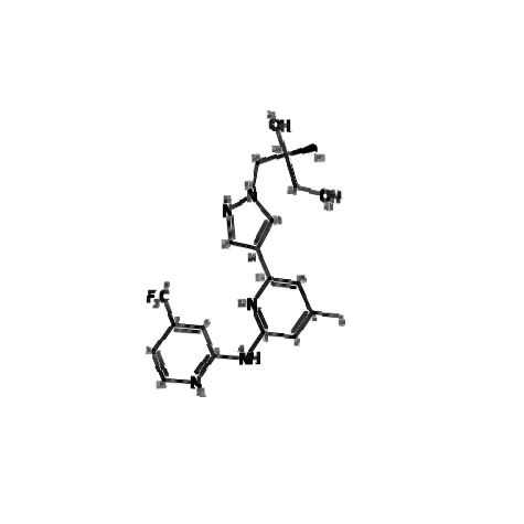 Cc1cc(Nc2cc(C(F)(F)F)ccn2)nc(-c2cnn(C[C@](C)(O)CO)c2)c1